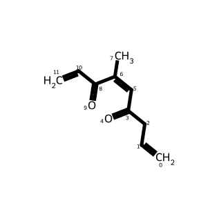 C=CCC(=O)C=C(C)C(=O)C=C